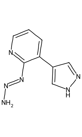 NN=Nc1ncccc1-c1cn[nH]c1